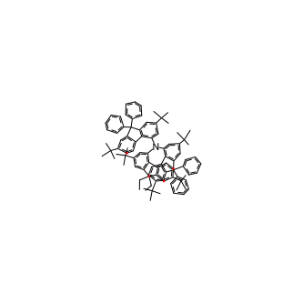 CCC1(CC)c2cc(C(C)(C)C)ccc2-c2c(N(c3cc(C(C)(C)C)cc4c3-c3ccc(C(C)(C)C)cc3C4(c3ccccc3)c3ccccc3)c3cc(C(C)(C)C)cc4c3-c3ccc(C(C)(C)C)cc3C4(c3ccccc3)c3ccccc3)cc(C(C)(C)C)cc21